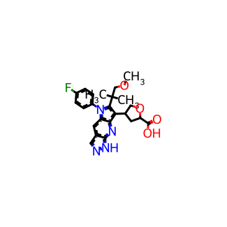 COCC(C)(C)c1c(C2COC(C(=O)O)C2)c2nc3[nH]ncc3cc2n1-c1ccc(F)cc1